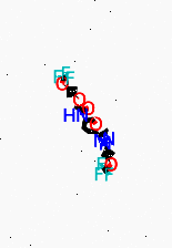 O=C(CO[C@H]1C[C@@H](OC(F)(F)F)C1)N[C@H]1CC[C@H](c2cnn([C@H]3C[C@@H](OC(F)(F)F)C3)n2)OC1